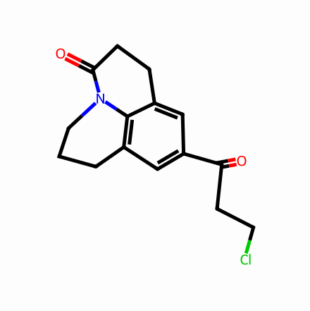 O=C(CCCl)c1cc2c3c(c1)CCC(=O)N3CCC2